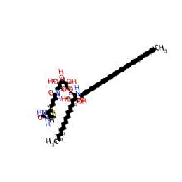 CC#CC#CC#CC#CC#CC#CC#CC#CC#CC#CC#CC#CC(=O)N[C@@H](COC1OC(CNC(=O)CCCC[C@@H]2SC[C@@H]3NC(=O)NC32)C(O)C(O)C1O)[C@H](O)[C@H](O)CCCCCCCCCCCCCC